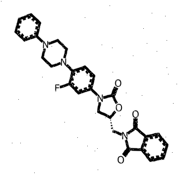 O=C1c2ccccc2C(=O)N1C[C@@H]1CN(c2ccc(N3CCN(c4ccccc4)CC3)c(F)c2)C(=O)O1